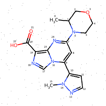 CC1COCCN1c1cc(-c2ccnn2C)n2cnc(C(=O)O)c2n1